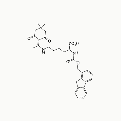 CC(NCCCC[C@H](NC(=O)OCc1cccc2c1Cc1ccccc1-2)C(=O)O)=C1C(=O)CC(C)(C)CC1=O